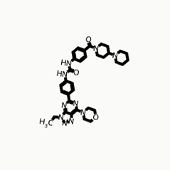 CCn1nnc2c(N3CCOCC3)nc(-c3ccc(NC(=O)Nc4ccc(C(=O)N5CCC(N6CCCCC6)CC5)cc4)cc3)nc21